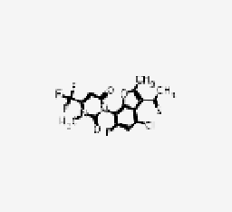 CC(=S)c1c(C)oc2c(-n3c(=O)cc(C(F)(F)F)n(C)c3=O)c(F)cc(Cl)c12